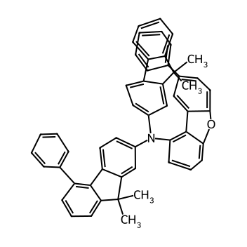 CC1(C)c2ccccc2-c2ccc(N(c3ccc4c(c3)C(C)(C)c3cccc(-c5ccccc5)c3-4)c3cccc4oc5ccc(-c6ccccc6)cc5c34)cc21